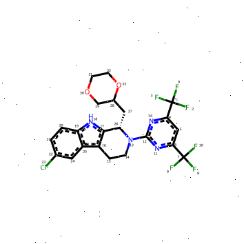 FC(F)(F)c1cc(C(F)(F)F)nc(N2CCc3c([nH]c4ccc(Cl)cc34)[C@@H]2CC2COCCO2)n1